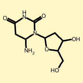 NC1CC(=O)NC(=O)N1C1CC(O)C(CO)O1